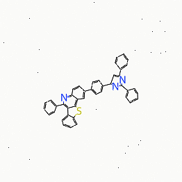 c1ccc(-c2cc(-c3ccc(-c4ccc5nc(-c6ccccc6)c6c7ccccc7sc6c5c4)cc3)nc(-c3ccccc3)n2)cc1